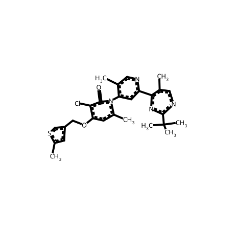 Cc1cc(COc2cc(C)n(-c3cc(-c4nc(C(C)(C)C)ncc4C)ncc3C)c(=O)c2Cl)cs1